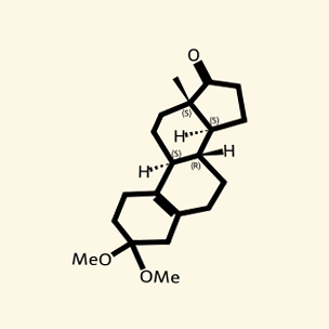 COC1(OC)CCC2=C(CC[C@@H]3[C@@H]2CC[C@]2(C)C(=O)CC[C@@H]32)C1